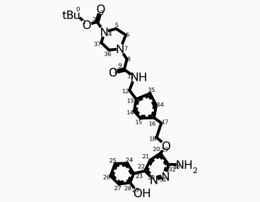 CC(C)(C)OC(=O)N1CCN(CC(=O)NCc2ccc(CCOc3cc(-c4ccccc4O)nnc3N)cc2)CC1